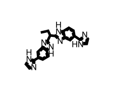 CCC(c1nc2cc(-c3ncc[nH]3)ccc2[nH]1)c1nc2cc(-c3ncc[nH]3)ccc2[nH]1